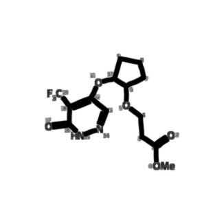 COC(=O)CCOC1CCCC1Oc1cn[nH]c(=O)c1C(F)(F)F